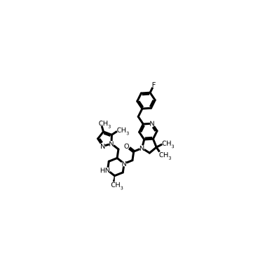 Cc1cnn(CC2CN[C@H](C)CN2CC(=O)N2CC(C)(C)c3cnc(Cc4ccc(F)cc4)cc32)c1C